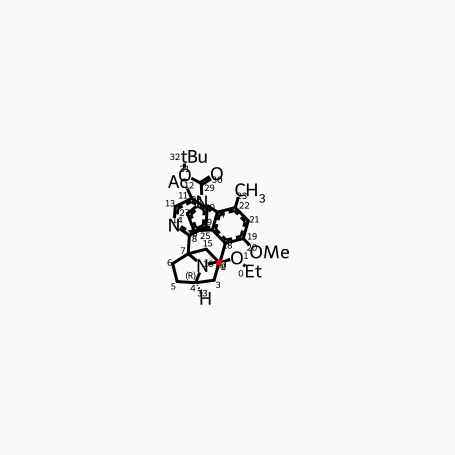 CCO[C@H]1C[C@H]2CCC(c3ccc(C(C)=O)cn3)(C1)N2Cc1c(OC)cc(C)c2c1ccn2C(=O)OC(C)(C)C